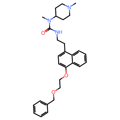 CN1CCC(N(C)C(=O)NCCc2ccc(OCCOCc3ccccc3)c3ccccc23)CC1